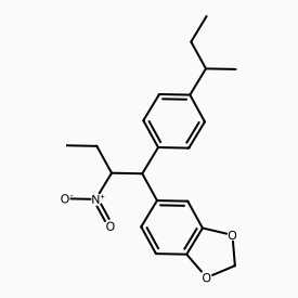 CCC(C)c1ccc(C(c2ccc3c(c2)OCO3)C(CC)[N+](=O)[O-])cc1